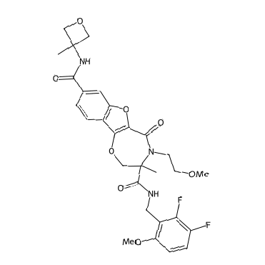 COCCN1C(=O)c2oc3cc(C(=O)NC4(C)COC4)ccc3c2OCC1(C)C(=O)NCc1c(OC)ccc(F)c1F